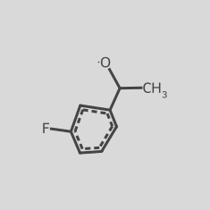 CC([O])c1cccc(F)c1